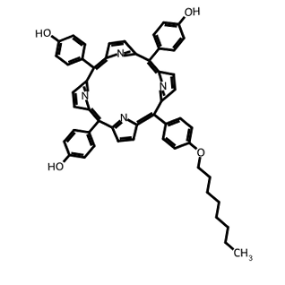 CCCCCCCCOc1ccc(C2=C3C=CC(=N3)C(c3ccc(O)cc3)=C3C=CC(=N3)C(c3ccc(O)cc3)=C3C=CC(=N3)C(c3ccc(O)cc3)=C3C=CC2=N3)cc1